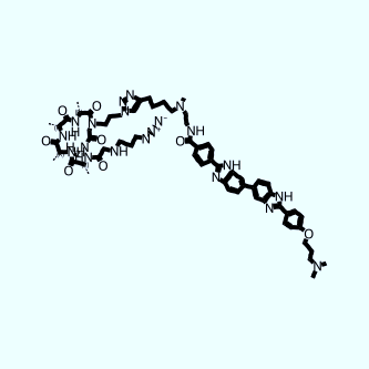 C[C@@H](NC(=O)CNCCCN=[N+]=[N-])C(=O)N[C@H](C)C(=O)N[C@H](C)C(=O)N[C@H](C)C(=O)N(CCCn1cc(CCCCN(C)CCNC(=O)c2ccc(-c3nc4ccc(-c5ccc6[nH]c(-c7ccc(OCCCN(C)C)cc7)nc6c5)cc4[nH]3)cc2)nn1)CC(N)=O